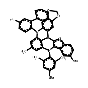 Cc1cc2c3c(c1)N(c1c(C)cc(C(C)(C)C)cc1C)c1c(sc4ccc(C(C)(C)C)cc14)B3c1cc3c(cc1N2c1ccc(C(C)(C)C)cc1-c1ccccc1)OCO3